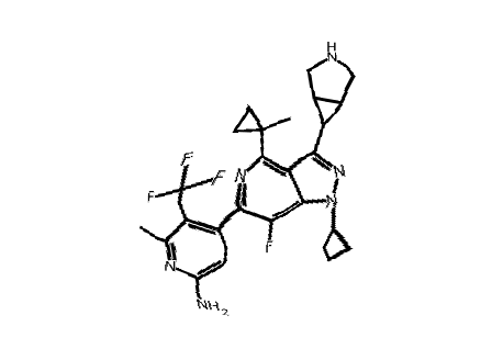 Cc1nc(N)cc(-c2nc(C3(C)CC3)c3c(C4C5CNCC54)nn(C4CC4)c3c2F)c1C(F)(F)F